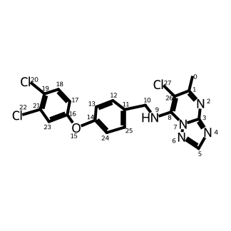 Cc1nc2ncnn2c(NCc2ccc(Oc3ccc(Cl)c(Cl)c3)cc2)c1Cl